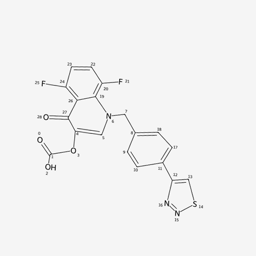 O=C(O)Oc1cn(Cc2ccc(-c3csnn3)cc2)c2c(F)ccc(F)c2c1=O